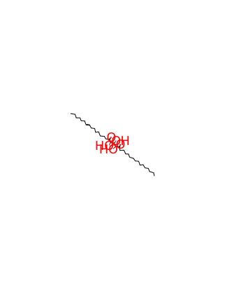 CCCCCCC=CCCCCCCCC(=O)C(O)C(O)C(O)C(=O)CCCCCCCCCCCCCCC